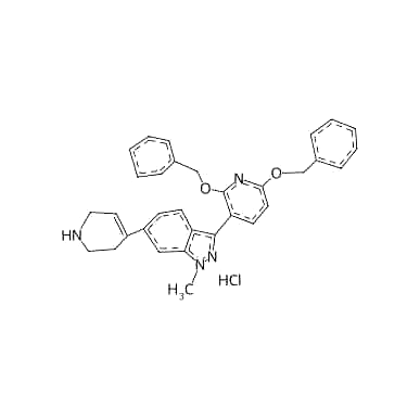 Cl.Cn1nc(-c2ccc(OCc3ccccc3)nc2OCc2ccccc2)c2ccc(C3=CCNCC3)cc21